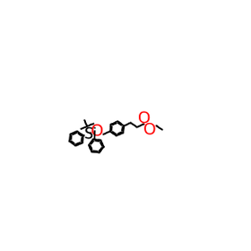 CCOC(=O)CCc1ccc(CO[Si](c2ccccc2)(c2ccccc2)C(C)(C)C)cc1